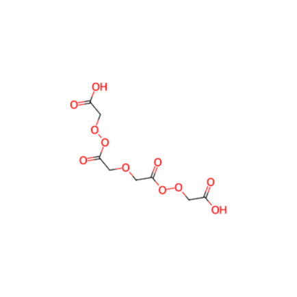 O=C(O)COOC(=O)COCC(=O)OOCC(=O)O